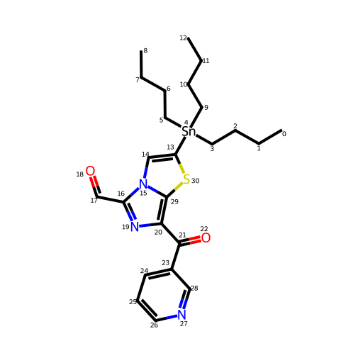 CCC[CH2][Sn]([CH2]CCC)([CH2]CCC)[c]1cn2c(C=O)nc(C(=O)c3cccnc3)c2s1